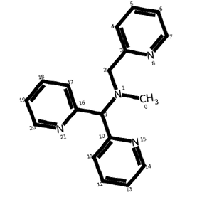 CN(Cc1ccccn1)C(c1ccccn1)c1ccccn1